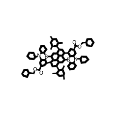 Cc1cc(C)c(-c2cc3c4c(cc5c(-c6c(C)cc(C)cc6C)cc6c7c(cc2c4c57)B2c4ccccc4N(c4ccccc4)c4cc(C(=O)OCc5ccccc5)cc-6c42)B2c4ccccc4N(c4ccccc4)c4cc(C(=O)OCc5ccccc5)cc-3c42)c(C)c1